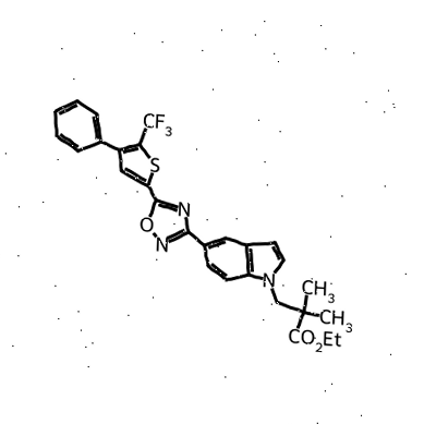 CCOC(=O)C(C)(C)Cn1ccc2cc(-c3noc(-c4cc(-c5ccccc5)c(C(F)(F)F)s4)n3)ccc21